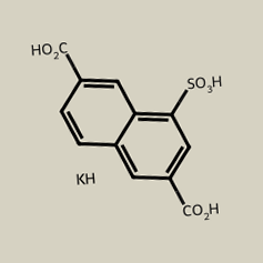 O=C(O)c1cc(S(=O)(=O)O)c2cc(C(=O)O)ccc2c1.[KH]